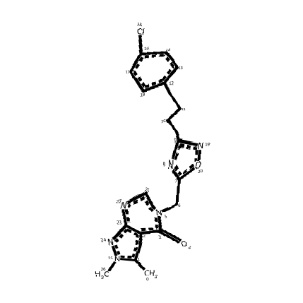 Cc1c2c(=O)n(Cc3nc(CCc4ccc(Cl)cc4)no3)cnc2nn1C